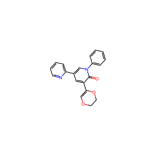 O=c1c(C2=COCCO2)cc(-c2ccccn2)cn1-c1ccccc1